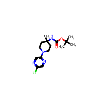 CC1(NC(=O)OC(C)(C)C)CCN(c2cnc(Cl)cn2)CC1